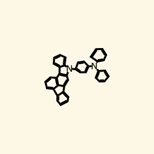 c1ccc(N(c2ccccc2)c2ccc(-n3c4ccccc4c4c5cccc6c5c(cc43)-c3ccccc3-6)cc2)cc1